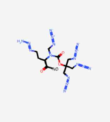 [N-]=[N+]=NCN(C(=O)OC(CN=[N+]=[N-])(CN=[N+]=[N-])CN=[N+]=[N-])C(CCN=NN)C(=O)N=O